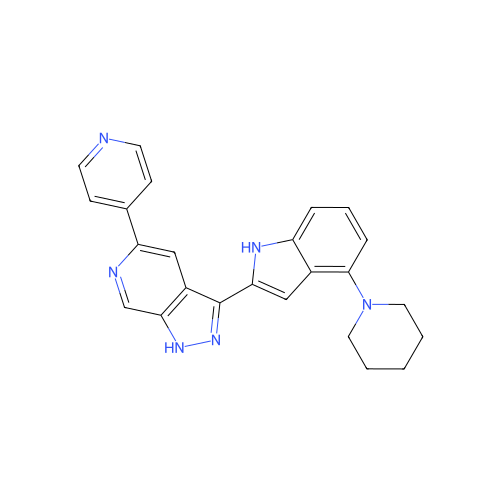 c1cc(N2CCCCC2)c2cc(-c3n[nH]c4cnc(-c5ccncc5)cc34)[nH]c2c1